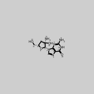 Nc1nc2c(ncn2[C@@H]2O[C@H](CO)C[C@@]2(N)O)c(=O)[nH]1